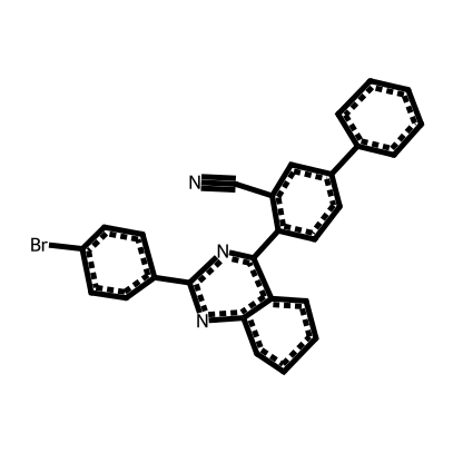 N#Cc1cc(-c2ccccc2)ccc1-c1nc(-c2ccc(Br)cc2)nc2ccccc12